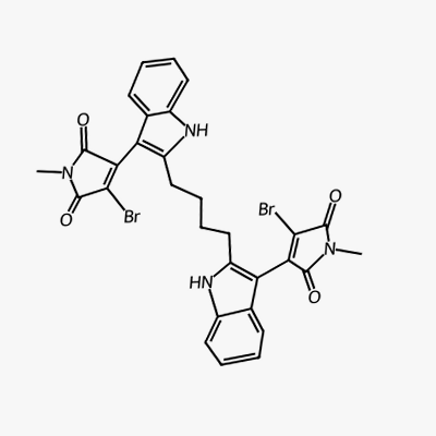 CN1C(=O)C(Br)=C(c2c(CCCCc3[nH]c4ccccc4c3C3=C(Br)C(=O)N(C)C3=O)[nH]c3ccccc23)C1=O